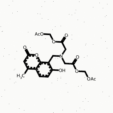 CC(=O)OCOC(=O)CN(CC(=O)OCOC(C)=O)Cc1c(O)ccc2c(C)cc(=O)oc12